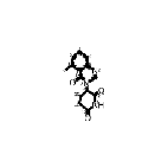 Cc1cccc2ncn(C3CCC(=O)NC3=O)c(=O)c12